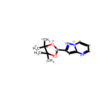 CC1(C)OB(c2cc3ncccn3n2)OC1(C)C